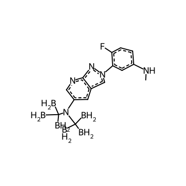 BC(B)(B)N(c1cnc2nn(-c3cc(NC)ccc3F)cc2c1)C(B)(B)B